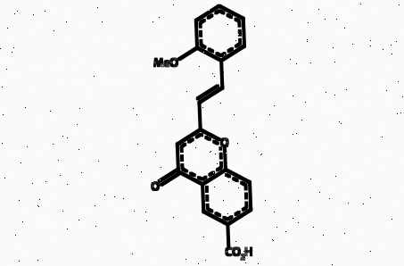 COc1ccccc1C=Cc1cc(=O)c2cc(C(=O)O)ccc2o1